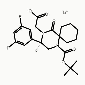 CC(C)(C)OC(=O)N1C[C@@](C)(c2cc(F)cc(F)c2)N(CC(=O)[O-])C(=O)C12CCCCC2.[Li+]